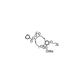 COCOc1cc(OCC[Si](C)(C)C)cc2c1C(=O)O[C@@H](C)[C@H](C)/C=C\C(OC(=O)c1ccccc1)C1OC(C)(C)OC1C/C=C/2